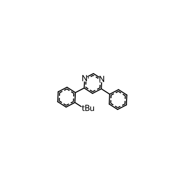 CC(C)(C)c1ccccc1-c1cc(-c2ccccc2)ncn1